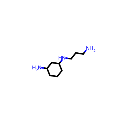 NCCCNC1CCCC(N)C1